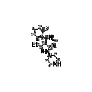 CCc1nn(N2CCNCC2)c2ncnc(-c3ccccc3C)c12